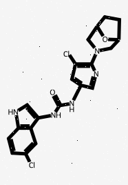 O=C(Nc1cnc(N2CC3CCC(C2)O3)c(Cl)c1)Nc1c[nH]c2ccc(Cl)cc12